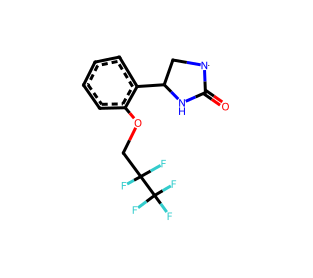 O=C1[N]CC(c2ccccc2OCC(F)(F)C(F)(F)F)N1